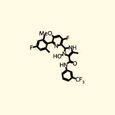 COc1cc(F)c(C2NC(C)=C(C(=O)Nc3cccc(C(F)(F)F)c3)N2O)nc1-c1c(C)cc(F)cc1C